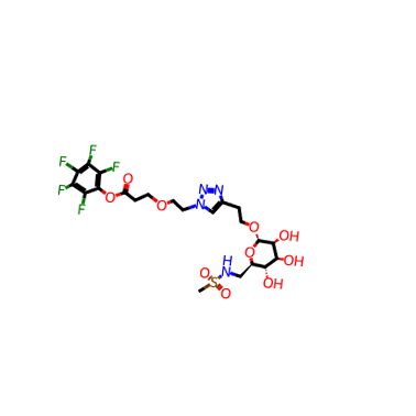 CS(=O)(=O)NC[C@H]1O[C@H](OCCc2cn(CCOCCC(=O)Oc3c(F)c(F)c(F)c(F)c3F)nn2)[C@@H](O)[C@@H](O)[C@@H]1O